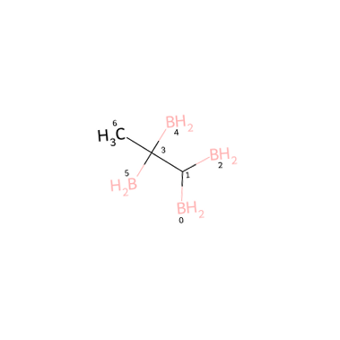 BC(B)C(B)(B)C